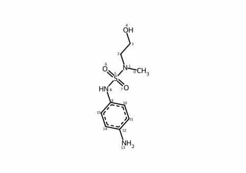 CN(CCO)S(=O)(=O)Nc1ccc(N)cc1